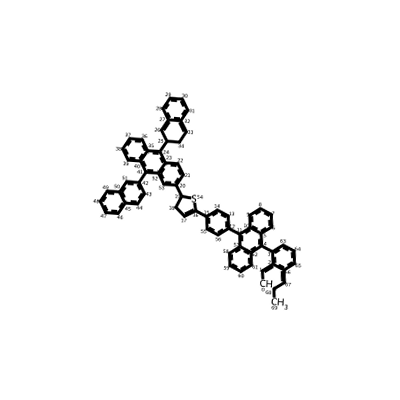 C/C=c1/c(-c2c3ccccc3c(-c3ccc(C4=CCC(c5ccc6c(C7C=c8ccccc8=CC7)c7ccccc7c(-c7ccc8ccccc8c7)c6c5)S4)cc3)c3ccccc23)ccc/c1=C/CC